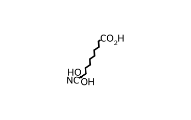 N#CC(O)(O)CCCCCCCCC(=O)O